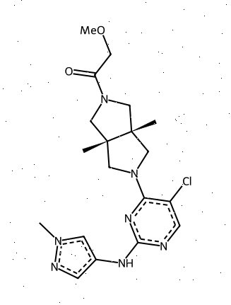 COCC(=O)N1C[C@@]2(C)CN(c3nc(Nc4cnn(C)c4)ncc3Cl)C[C@@]2(C)C1